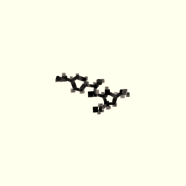 CC(=O)Oc1ccc(C(=O)Nc2nc(C(F)(F)F)cn2C)cc1